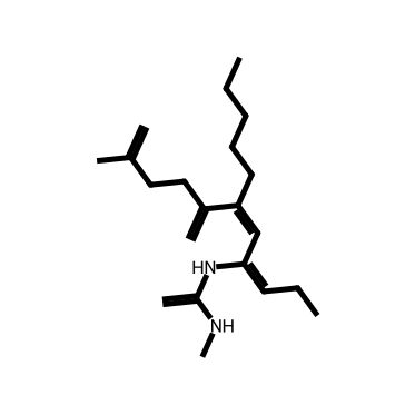 C=C(C)CCC(=C)/C(=C\C(=C/CC)NC(=C)NC)CCCCC